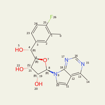 Cc1cc([C@@H](O)[C@H]2O[C@@H](n3ccc4c(C)ncnc43)[C@H](O)[C@@H]2O)ccc1F